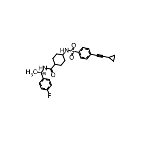 C[C@@H](NC(=O)C1CCC(NS(=O)(=O)c2ccc(C#CC3CC3)cc2)CC1)c1ccc(F)cc1